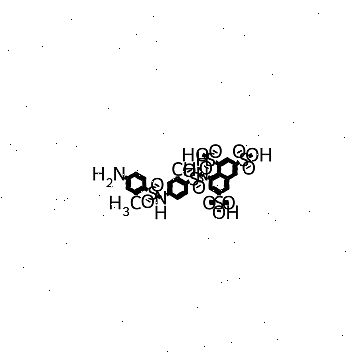 Cc1cc(N)ccc1S(=O)(=O)Nc1ccc(S(=O)(=O)Nc2cc(S(=O)(=O)O)cc3cc(S(=O)(=O)O)cc(S(=O)(=O)O)c23)c(C)c1